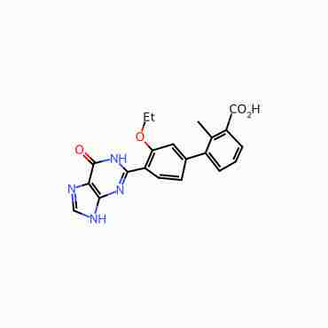 CCOc1cc(-c2cccc(C(=O)O)c2C)ccc1-c1nc2[nH]cnc2c(=O)[nH]1